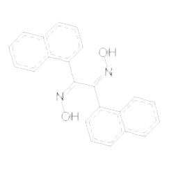 O/N=C(\C(=N/O)c1cccc2ccccc12)c1cccc2ccccc12